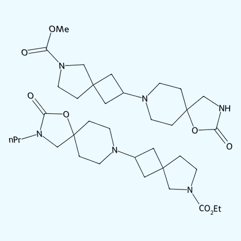 CCCN1CC2(CCN(C3CC4(CCN(C(=O)OCC)C4)C3)CC2)OC1=O.COC(=O)N1CCC2(CC(N3CCC4(CC3)CNC(=O)O4)C2)C1